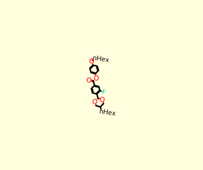 CCCCCCOc1ccc(OC(=O)c2ccc(C3OCC(CCCCCC)CO3)c(F)c2)cc1